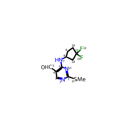 CSc1ncc(C=O)c(NC2CCC(F)(F)C2)n1